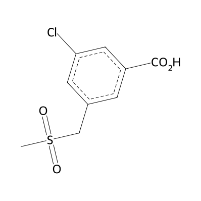 CS(=O)(=O)Cc1cc(Cl)cc(C(=O)O)c1